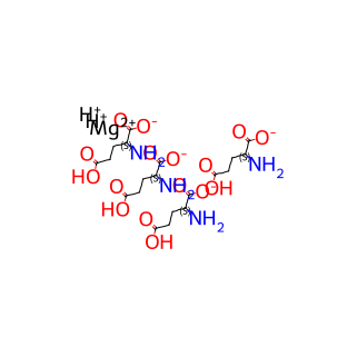 N[C@@H](CCC(=O)O)C(=O)[O-].N[C@@H](CCC(=O)O)C(=O)[O-].N[C@@H](CCC(=O)O)C(=O)[O-].N[C@@H](CCC(=O)O)C(=O)[O-].[H+].[H+].[Mg+2]